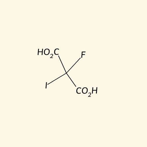 O=C(O)C(F)(I)C(=O)O